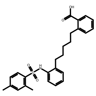 Cc1ccc(S(=O)(=O)Nc2ccccc2CCCCCc2ccccc2C(=O)O)c(C)c1